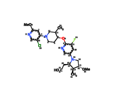 COc1cc(N2CCC(Oc3ncc(N4C[C@H](OC)[C@@H](C)[C@H]4CC(=O)O)cc3F)C(C)C2)c(Cl)cn1